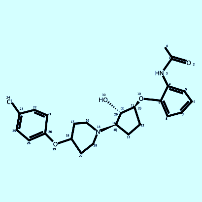 CC(=O)Nc1ccccc1O[C@H]1CC[C@@H](N2CCC(Oc3ccc(Cl)cc3)CC2)[C@@H]1O